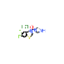 Cl.O=C(N1CCNCC1)N1CCSc2cc(F)c(F)cc2C1